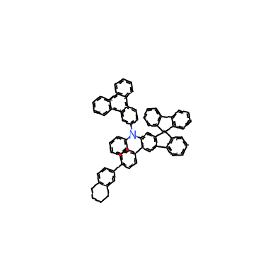 c1ccc(N(c2ccc3c4ccccc4c4ccccc4c3c2)c2cc3c(cc2-c2ccc(-c4ccc5c(c4)CCCC5)cc2)-c2ccccc2C32c3ccccc3-c3ccccc32)cc1